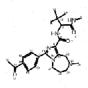 CNC(=O)C(NC(=O)c1nc(-c2ccc(C(C)=O)cc2)n2c1CN(C)CCC2)C(C)(C)C